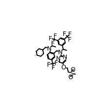 CCN(CC1CC[CH]CC1)c1ccc(C(F)(F)F)cc1CN(c1ncc(OCCS(C)(=O)=O)cn1)C(C)c1cc(C(F)(F)F)cc(C(F)(F)F)c1